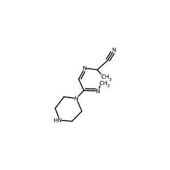 C/N=C(\C=N/C(C)C#N)N1CCNCC1